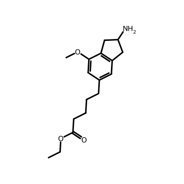 CCOC(=O)CCCCc1cc2c(c(OC)c1)CC(N)C2